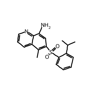 Cc1c(S(=O)(=O)c2ccccc2C(C)C)cc(N)c2ncccc12